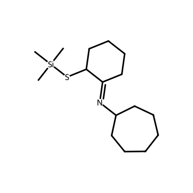 C[Si](C)(C)SC1CCCCC1=NC1CCCCCC1